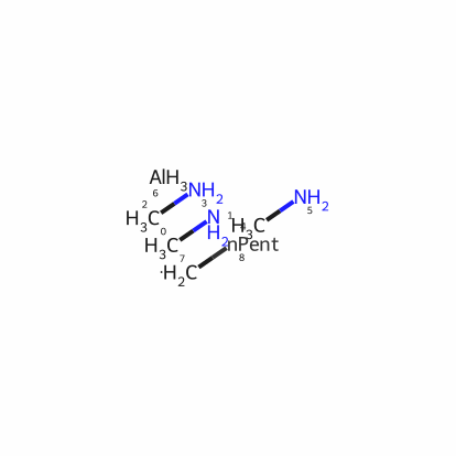 CN.CN.CN.[AlH3].[CH2]CCCCC